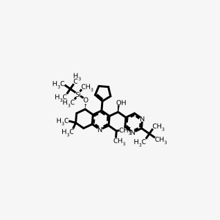 CC(C)c1nc2c(c(C3=CCCC3)c1[C@@H](O)c1cnc(C(C)(C)C)nc1)[C@@H](O[Si](C)(C)C(C)(C)C)CC(C)(C)C2